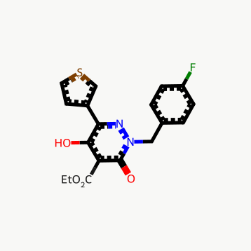 CCOC(=O)c1c(O)c(-c2ccsc2)nn(Cc2ccc(F)cc2)c1=O